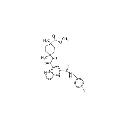 COC(=O)C1(C)CCC(C)(NC(=O)c2cc(C(=O)NCc3ccc(F)cc3)nc3ccnn23)CC1